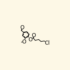 COc1cc(C=O)ccc1OC(=O)CCCCCl